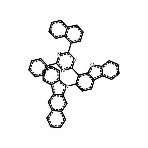 c1ccc(-c2nc(-c3cccc4ccccc34)nc(-c3c(-n4c5ccccc5c5cc6ccccc6cc54)ccc4c3oc3ccccc34)n2)cc1